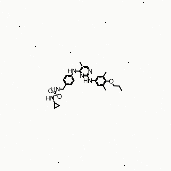 CCCOc1c(C)cc(Nc2ncc(C)c(Nc3ccc(CNS(=O)(=O)NC4CC4)cc3)n2)cc1C